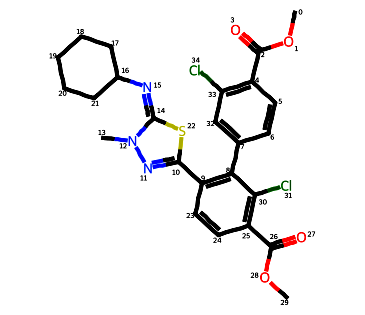 COC(=O)c1ccc(-c2c(-c3nn(C)c(=NC4CCCCC4)s3)ccc(C(=O)OC)c2Cl)cc1Cl